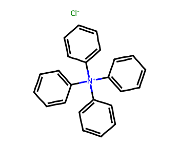 [Cl-].c1ccc([N+](c2ccccc2)(c2ccccc2)c2ccccc2)cc1